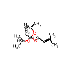 CC(C)=C[SiH2]O[Si](C)(O[SiH](C)C)O[SiH](C)C